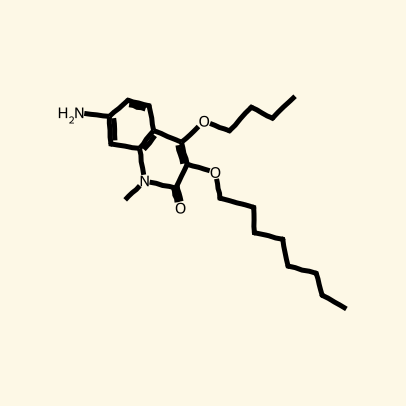 CCCCCCCCOc1c(OCCCC)c2ccc(N)cc2n(C)c1=O